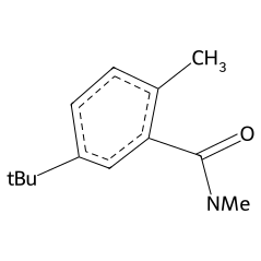 CNC(=O)c1cc(C(C)(C)C)ccc1C